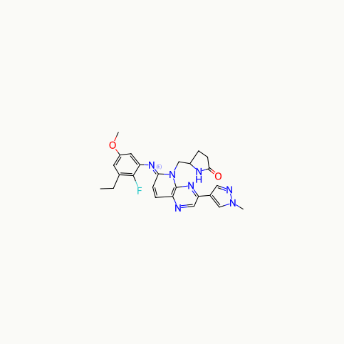 CCc1cc(OC)cc(/N=c2\ccc3ncc(-c4cnn(C)c4)nc3n2CC2CCC(=O)N2)c1F